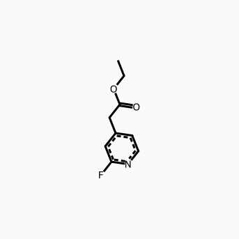 CCOC(=O)Cc1ccnc(F)c1